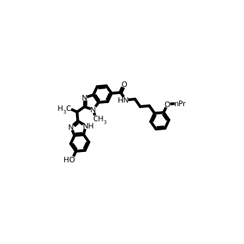 CCCOc1ccccc1CCCNC(=O)c1ccc2nc(C(C)c3nc4cc(O)ccc4[nH]3)n(C)c2c1